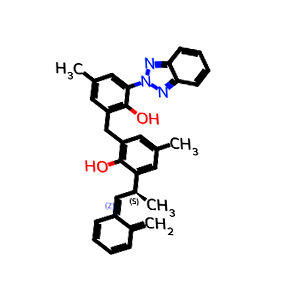 C=c1cccc/c1=C/[C@H](C)c1cc(C)cc(Cc2cc(C)cc(-n3nc4ccccc4n3)c2O)c1O